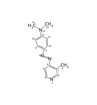 Cc1cnccc1N=Nc1ccc(N(C)C)cc1